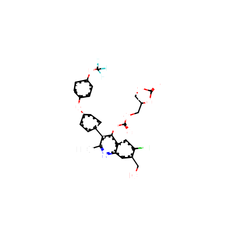 Cc1nc2cc(CO)c(Cl)cc2c(OC(=O)OCC2COC(=O)O2)c1-c1ccc(Oc2ccc(OC(F)(F)F)cc2)cc1